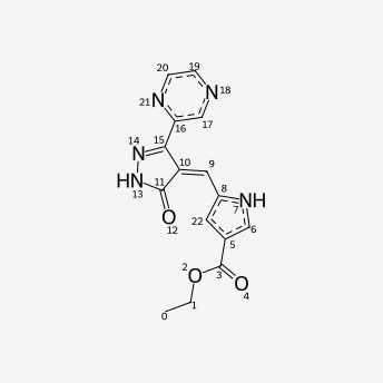 CCOC(=O)c1c[nH]c(C=C2C(=O)NN=C2c2cnccn2)c1